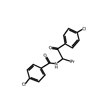 CC(C)C(NC(=O)c1ccc(Cl)cc1)C(=O)c1ccc(Cl)cc1